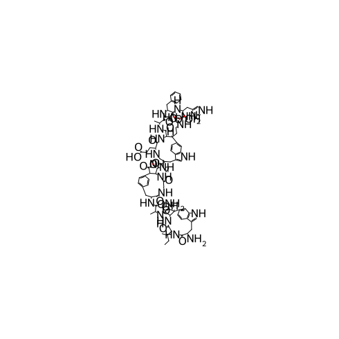 CCC(C)C1NC(=O)C(N)Cc2c[nH]c3cc(ccc23)[C@@H](C(N)=O)C(C(=O)NC(C)C(=O)NC2Cc3ccc(cc3)C(C(N)=O)C(C(=O)NC3Cc4c[nH]c5cc(ccc45)[C@@H](CCNC(=N)N)C(C(=O)NC(C)C(=O)NC(Cc4ccccc4)C(=O)NC(Cc4c[nH]cn4)C(=O)O)NC(=O)C(CCC(=O)O)NC3=O)NC(=O)CNC2=O)NC1=O